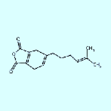 CC(C)=CCCCC1=CCC2=C(C1)C(=O)OC2=O